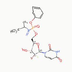 CC(NP(=O)(OC[C@H]1O[C@@H](n2ccc(=O)[nH]c2=O)[C@@](F)(Br)[C@@H]1O)Oc1ccccc1)C(=O)O